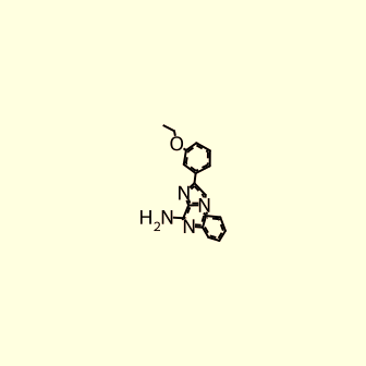 CCOc1cccc(-c2cn3c(n2)c(N)nc2ccccc23)c1